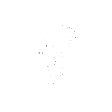 CC(=O)c1ccc(NCCCc2c[nH]cn2)cc1.O=C(O)C(=O)O